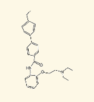 CCc1ccc(-c2ccc(C(=O)Nc3ccccc3OCCN(CC)CC)cc2)cc1